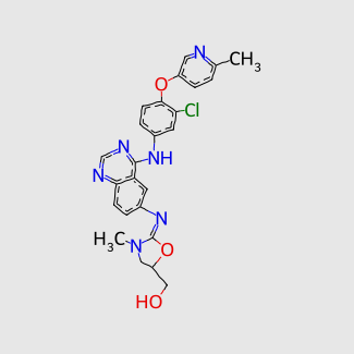 Cc1ccc(Oc2ccc(Nc3ncnc4ccc(N=C5OC(CO)CN5C)cc34)cc2Cl)cn1